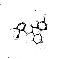 N#Cc1c(F)cccc1OC(C(=O)c1cccc(Cl)c1)C1CCNCC1